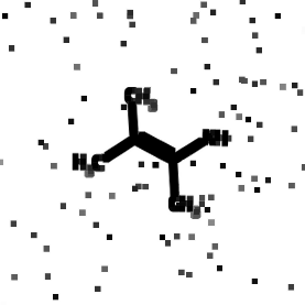 CC(C)=C(C)[NH]